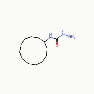 NNC(=O)NC1CCCCCCCCCCC1